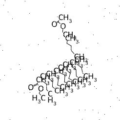 CCCCC.CCCCC.CCCCC.CCCCC.CCCCC.CCCCC.CCCCC.CCCCC.CCOC(C)=O.CCOC(C)=O